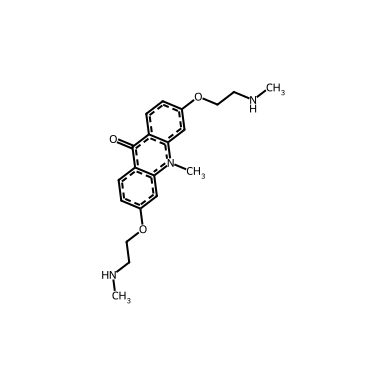 CNCCOc1ccc2c(=O)c3ccc(OCCNC)cc3n(C)c2c1